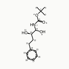 CC(C)(C)OC(=O)NC(O)[C@H](O)CCc1ccccc1